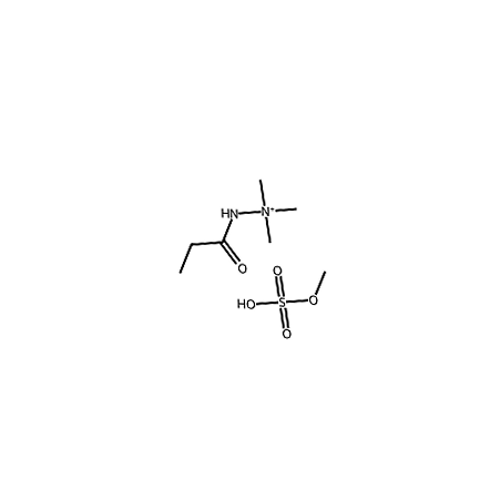 CCC(=O)N[N+](C)(C)C.COS(=O)(=O)O